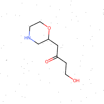 O=C(CCO)CC1CNCCO1